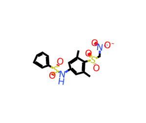 Cc1cc(NS(=O)(=O)c2ccccc2)cc(C)c1S(=O)(=O)C[N+](=O)[O-]